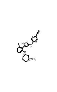 N#Cc1cnc(Nc2cc(-c3c(F)cccc3O[C@H]3CCCC[C@H](N)C3)[nH]n2)cn1